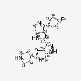 Fc1ccc(-c2nccc3[nH]c(-c4n[nH]c5cnc(C6CCNCC6)cc45)nc23)cc1